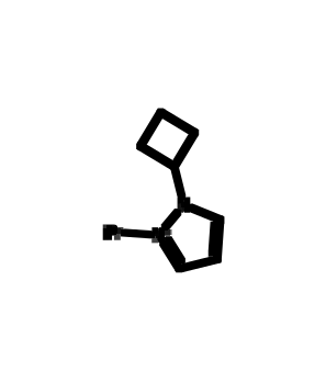 CC(C)[n+]1cccn1C1CCC1